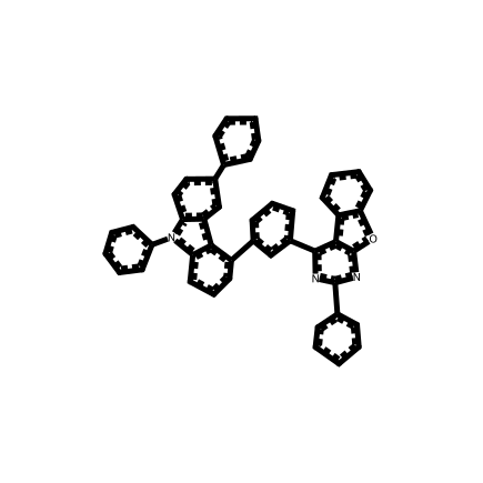 c1ccc(-c2ccc3c(c2)c2c(-c4cccc(-c5nc(-c6ccccc6)nc6oc7ccccc7c56)c4)cccc2n3-c2ccccc2)cc1